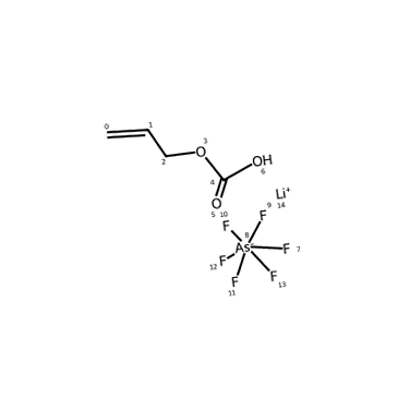 C=CCOC(=O)O.F[As-](F)(F)(F)(F)F.[Li+]